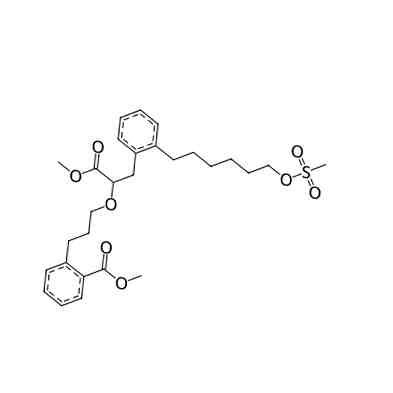 COC(=O)c1ccccc1CCCOC(Cc1ccccc1CCCCCCOS(C)(=O)=O)C(=O)OC